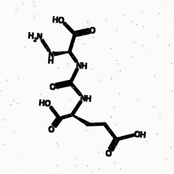 NN[C@H](NC(=O)N[C@@H](CCC(=O)O)C(=O)O)C(=O)O